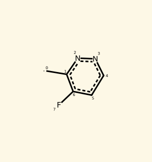 [CH2]c1nnccc1F